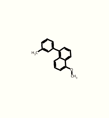 COc1cccc2c(-c3cccc(C)c3)cccc12